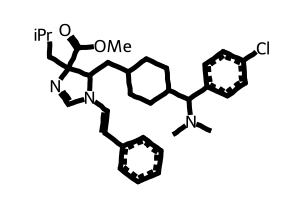 COC(=O)C1(CC(C)C)N=CN(C=Cc2ccccc2)C1CC1CCC(C(c2ccc(Cl)cc2)N(C)C)CC1